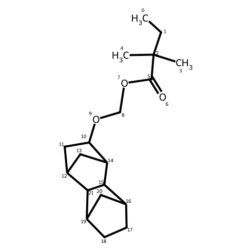 CCC(C)(C)C(=O)OCOC1CC2CC1C1C3CCC(C3)C21